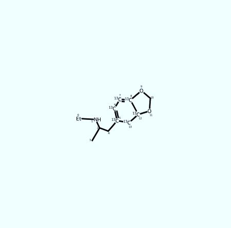 CCNC(C)C[13C]1=[13CH][13CH]=[13C]2OCO[13CH]2[13CH2]1